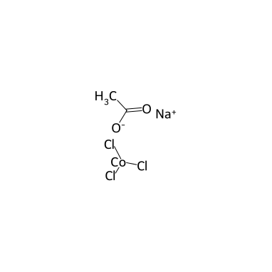 CC(=O)[O-].[Cl][Co]([Cl])[Cl].[Na+]